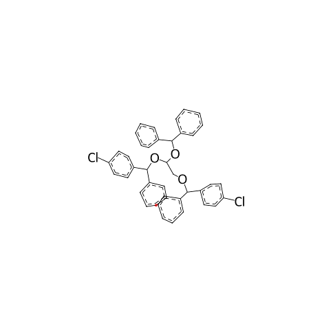 Clc1ccc(C(OCC(OC(c2ccccc2)c2ccccc2)OC(c2ccccc2)c2ccc(Cl)cc2)c2ccccc2)cc1